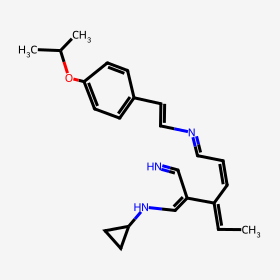 C/C=C(\C=C/C=N/C=C/c1ccc(OC(C)C)cc1)C(/C=N)=C/NC1CC1